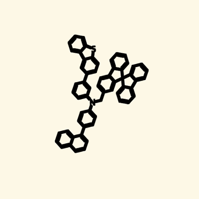 c1cc(-c2ccc3sc4ccccc4c3c2)cc(N(Cc2ccc3c(c2)C2(c4ccccc4-c4ccccc42)c2ccccc2-3)c2ccc(-c3cccc4ccccc34)cc2)c1